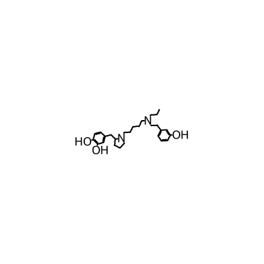 CCCN(CCCCCN1CCCC1Cc1ccc(O)c(O)c1)CCc1cccc(O)c1